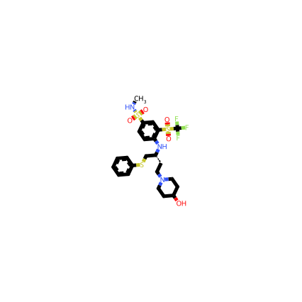 CNS(=O)(=O)c1ccc(N[C@H](CCN2CCC(O)CC2)CSc2ccccc2)c(S(=O)(=O)C(F)(F)F)c1